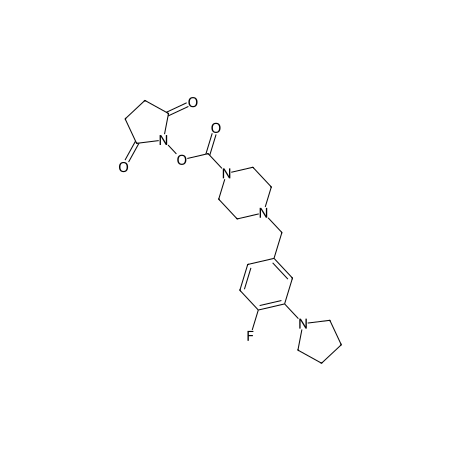 O=C(ON1C(=O)CCC1=O)N1CCN(Cc2ccc(F)c(N3CCCC3)c2)CC1